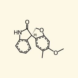 COc1cc2c(cc1C)[C@]1(CO2)C(=O)Nc2ccccc21